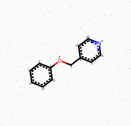 [c]1ccc(OCc2ccncc2)cc1